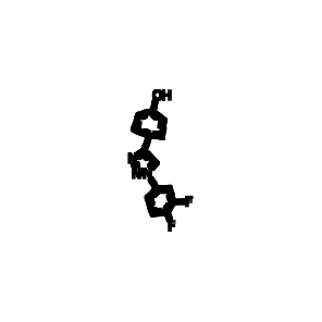 Oc1ccc(-c2cn(-c3ccc(F)c(F)c3)nn2)cc1